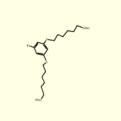 [CH2]Cc1cc(SCCCCCCCCCCCCCCCC)cc(SCCCCCCCCCCCCCCCC)c1